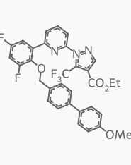 CCOC(=O)c1cnn(-c2cccc(-c3cc(F)cc(F)c3OCc3ccc(-c4ccc(OC)cc4)cc3)n2)c1C(F)(F)F